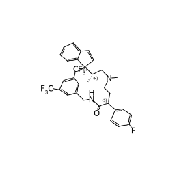 C[C@@H](CN(C)CC[C@H](C(=O)NCc1cc(C(F)(F)F)cc(C(F)(F)F)c1)c1ccc(F)cc1)[C@@]1(C)C=Cc2ccccc21